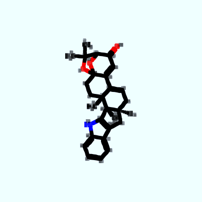 CC1(C)OC23CCC4(C)C(=CC[C@H]5Cc6c([nH]c7ccccc67)[C@@]54C)C2=CC(=O)C1O3